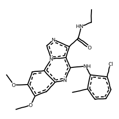 CCNC(=O)c1ncn2c1c(Nc1c(C)cccc1Cl)nc1cc(OC)c(OC)cc12